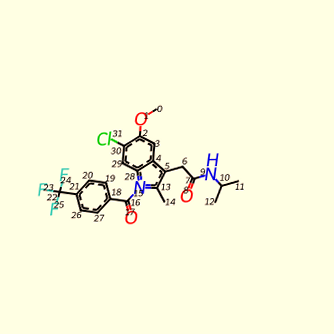 COc1cc2c(CC(=O)NC(C)C)c(C)n(C(=O)c3ccc(C(F)(F)F)cc3)c2cc1Cl